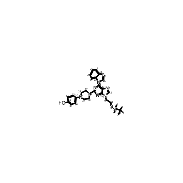 CC(C)(C)[Si](C)(C)OCCn1cnc2c(-n3cnc4ccccc43)nc(N3CCN(c4ccc(O)cc4)CC3)nc21